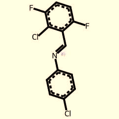 Fc1ccc(F)c(/C=N/c2ccc(Cl)cc2)c1Cl